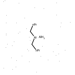 CCC[CH2][Al][CH2]CCC.[AlH3]